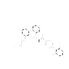 CC(=O)OCCOc1ccccc1CN1C(=O)N(C2CCN(c3c(C)cccc3F)CC2)Cc2ccccc21